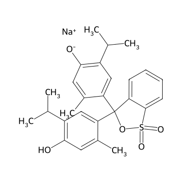 Cc1cc([O-])c(C(C)C)cc1C1(c2cc(C(C)C)c(O)cc2C)OS(=O)(=O)c2ccccc21.[Na+]